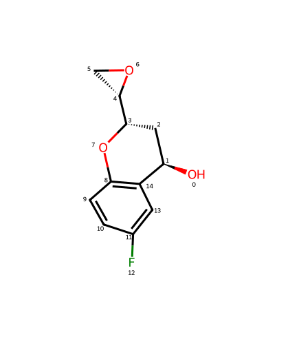 O[C@@H]1C[C@@H]([C@@H]2CO2)Oc2ccc(F)cc21